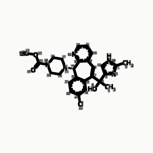 Cc1nc(C(C)(O)C2=Cc3cccnc3[C@@H](N3CCN(C(=O)OC(C)(C)C)CC3)c3ccc(Cl)cc32)c[nH]1